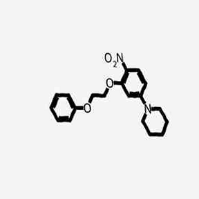 O=[N+]([O-])c1ccc(N2CCCCC2)cc1OCCOc1ccccc1